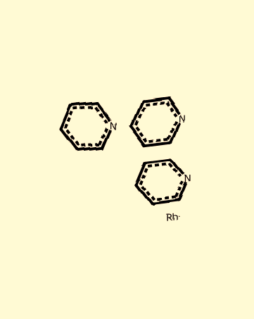 [Rh].c1ccncc1.c1ccncc1.c1ccncc1